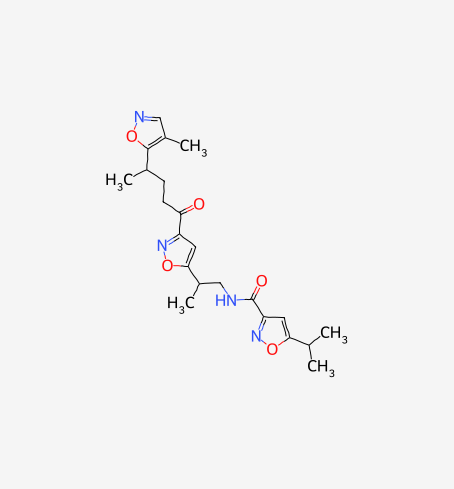 Cc1cnoc1C(C)CCC(=O)c1cc(C(C)CNC(=O)c2cc(C(C)C)on2)on1